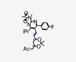 CC(=O)C[C@H]1C[C@@H](/C=C/c2c(-c3ccc(F)cc3)nc(N(C)S(C)(=O)=O)nc2C(C)C)OC(C)(C)O1